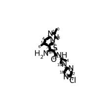 Cc1nc2cc(C)c3c(N)c(C(=O)NC4CN(c5cnc(Cl)cn5)C4)sc3n2n1